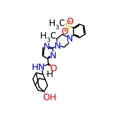 C[C@@H]1CN(c2ccccc2S(C)(=O)=O)CCN1c1nccc(C(=O)N[C@H]2C3CC4CC2C[C@](O)(C4)C3)n1